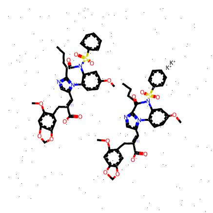 CCCCc1ncc(/C=C(\Cc2cc3c(cc2OC)OCO3)C(=O)[O-])n1-c1ccc(OC)cc1N(C=O)S(=O)(=O)c1ccccc1.CCCCc1ncc(/C=C(\Cc2cc3c(cc2OC)OCO3)C(=O)[O-])n1-c1ccc(OC)cc1N(C=O)S(=O)(=O)c1ccccc1.[K+].[K+]